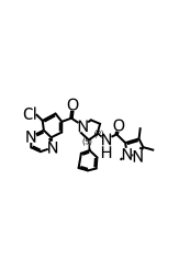 Cc1nn(C)c(C(=O)N[C@@H]2CCN(C(=O)c3cc(Cl)c4nccnc4c3)C[C@@H]2c2ccccc2)c1C